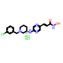 Cl.Cl.O=C(C=Cc1cnc(N[C@@H]2CCCN(Cc3cccc(Cl)c3)C2)cn1)NO